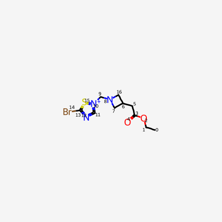 CCOC(=O)CC1CN(C[n+]2cnc(Br)s2)C1